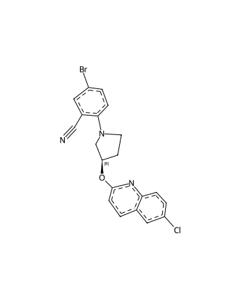 N#Cc1cc(Br)ccc1N1CC[C@@H](Oc2ccc3cc(Cl)ccc3n2)C1